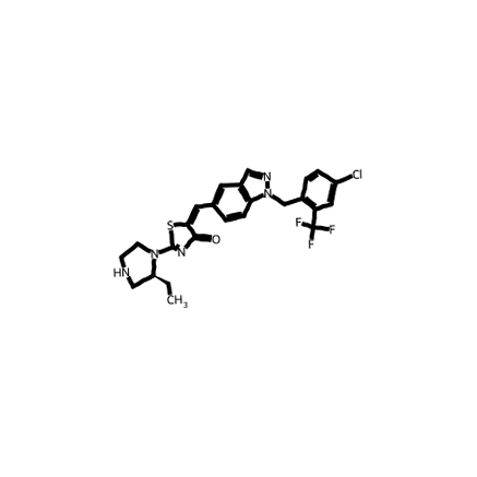 CC[C@H]1CNCCN1C1=NC(=O)/C(=C\c2ccc3c(cnn3Cc3ccc(Cl)cc3C(F)(F)F)c2)S1